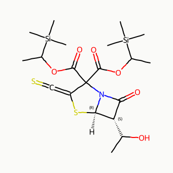 CC(O)[C@H]1C(=O)N2[C@@H]1SC(=C=S)C2(C(=O)OC(C)[Si](C)(C)C)C(=O)OC(C)[Si](C)(C)C